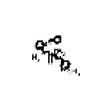 Cc1ccc(-c2cc(NCC(C)c3ccccc3OCC3CCCC3)ncn2)cn1